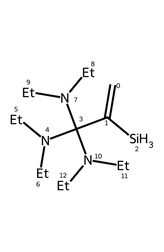 C=C([SiH3])C(N(CC)CC)(N(CC)CC)N(CC)CC